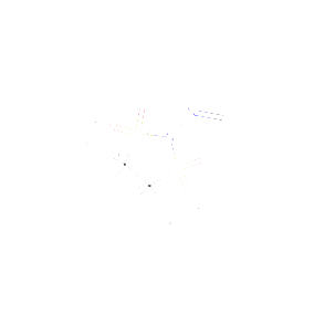 C=NN1S(=O)(=O)C(F)(F)C(F)(F)S1(=O)=O